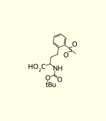 CC(C)(C)OC(=O)NC(CCc1ccccc1S(C)(=O)=O)C(=O)O